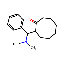 CN(C)C(c1ccccc1)C1CCCCCCC1=O